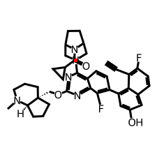 C#Cc1c(F)ccc2cc(O)cc(-c3ccc4c(N5CC6CCC(C5)N6C(=O)C5CC5)nc(OC[C@]56CCC[C@H]5N(C)CCC6)nc4c3F)c12